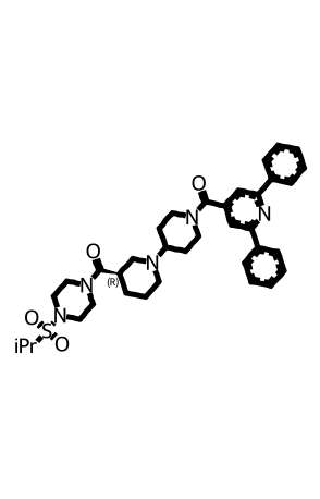 CC(C)S(=O)(=O)N1CCN(C(=O)[C@@H]2CCCN(C3CCN(C(=O)c4cc(-c5ccccc5)nc(-c5ccccc5)c4)CC3)C2)CC1